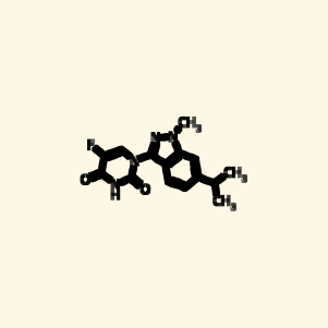 CC(C)c1ccc2c(-n3cc(F)c(=O)[nH]c3=O)nn(C)c2c1